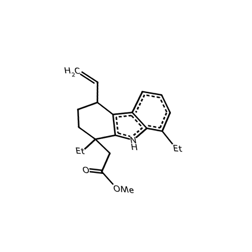 C=CC1CCC(CC)(CC(=O)OC)c2[nH]c3c(CC)cccc3c21